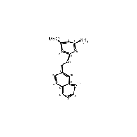 CSc1cc(N)nc(SCc2ccc3cccnc3c2)n1